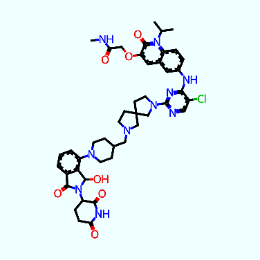 CNC(=O)COc1cc2cc(Nc3nc(N4CCC5(CCN(CC6CCN(c7cccc8c7C(O)N(C7CCC(=O)NC7=O)C8=O)CC6)C5)C4)ncc3Cl)ccc2n(C(C)C)c1=O